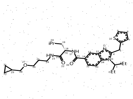 CCC(CC)n1c(Cc2cccs2)nc2cc(C(=O)N[C@@H](CC(C)C)C(=O)NCCCOCC3CC3)ccc21